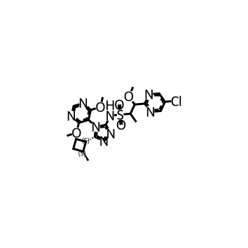 COc1ncnc(OC)c1-n1c(NS(=O)(=O)C(C)C(OC)c2ncc(Cl)cn2)nnc1[C@H]1CC[C@@H]1C